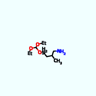 CCOC(OCC)O[SiH2]CC(C)CN